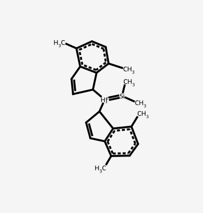 Cc1ccc(C)c2c1C=C[CH]2[Hf]([CH]1C=Cc2c(C)ccc(C)c21)=[Si](C)C